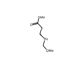 COCPCCC(=O)OC